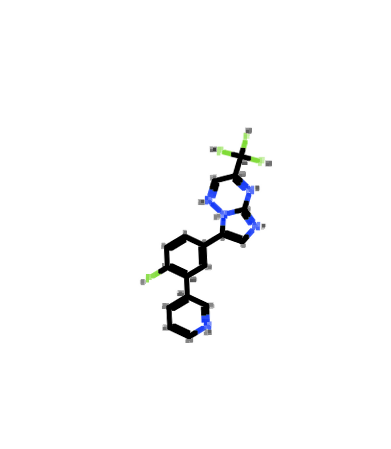 Fc1ccc(-c2cnc3nc(C(F)(F)F)cnn23)cc1-c1cccnc1